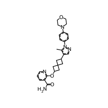 Cc1c(C2CC3(CC(Oc4ncccc4C(N)=O)C3)C2)cnn1-c1ccc(N2CCOCC2)cc1